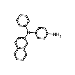 Nc1ccc(N(c2ccccc2)c2ccc3ccccc3c2)cc1